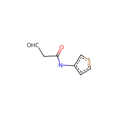 O=CCC(=O)[N]c1ccsc1